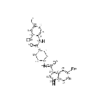 O=C(NC1CCC(C(=O)Nc2ccc(F)cc2Cl)CC1)c1n[nH]c2ccc(F)cc12